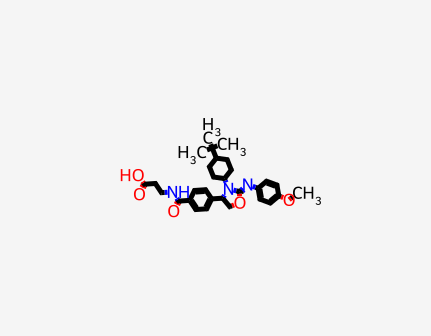 COc1ccc(N=C2OCC(c3ccc(C(=O)NCCC(=O)O)cc3)N2C2CCC(C(C)(C)C)CC2)cc1